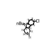 CCCCn1c2c(c3cc(Cl)ccc31)CN(C)CC2